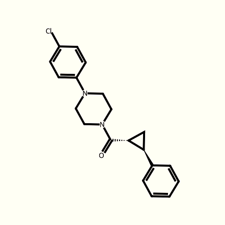 O=C([C@@H]1C[C@H]1c1ccccc1)N1CCN(c2ccc(Cl)cc2)CC1